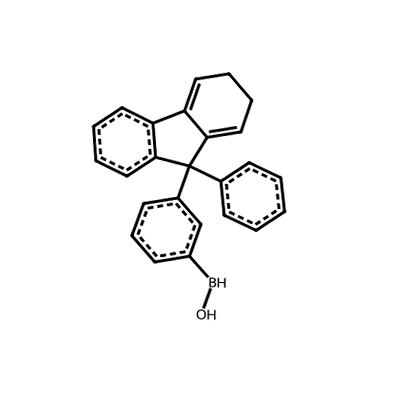 OBc1cccc(C2(c3ccccc3)C3=CCCC=C3c3ccccc32)c1